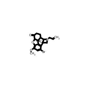 C=CCN1CC23C[C@@]45c6c(c(OC)cc(Br)c62)OC4C(=O)CCC5C13